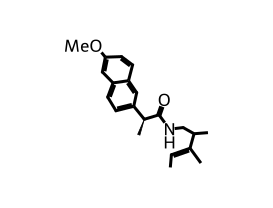 CC=C(C)C(C)CNC(=O)[C@@H](C)c1ccc2cc(OC)ccc2c1